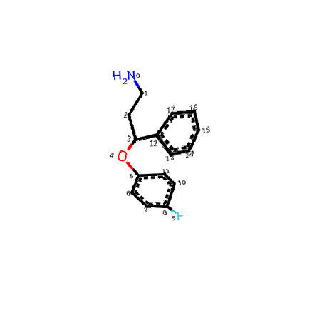 NCCC(Oc1ccc(F)cc1)c1ccccc1